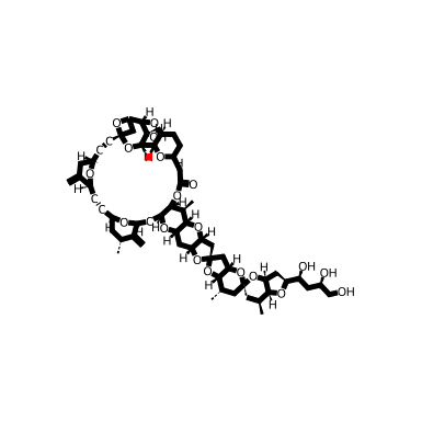 C=C1C[C@@H]2CC[C@]34CC(O3)[C@@H]3O[C@H]5CC[C@H](CC(=O)O[C@@H]6[C@@H](C)[C@@H]7O[C@@H]8C[C@]9(C[C@@H]%10O[C@]%11(C[C@H](C)[C@@H]%12O[C@H]([C@@H](O)C[C@@H](O)CO)C[C@@H]%12O%11)C[C@H](C)[C@@H]%10O9)O[C@@H]8C[C@@H]7O[C@H]6C[C@H]6O[C@@H](CC[C@@H]1O2)C[C@@H](C)C6=C)O[C@@H]5[C@H](O4)[C@@H]3O